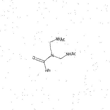 CCCC(=O)N(CNC(C)=O)CNC(C)=O